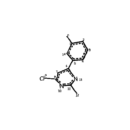 Cc1cccc(-c2cc(Cl)nc(C)n2)c1